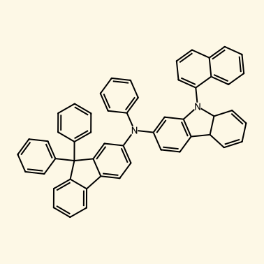 C1=CC2c3ccc(N(c4ccccc4)c4ccc5c(c4)C(c4ccccc4)(c4ccccc4)c4ccccc4-5)cc3N(c3cccc4ccccc34)C2C=C1